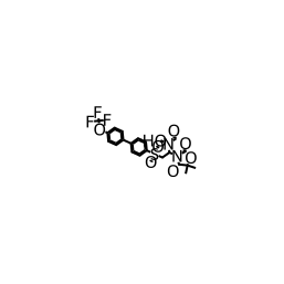 CC1(C)OC(=O)N(C(CS(=O)(=O)c2ccc(-c3ccc(OC(F)(F)F)cc3)cc2)N(O)C=O)C1=O